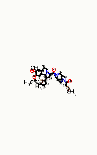 COc1cc2c(cc1OC(C)C)-c1c(-c3cccs3)cc(C(=O)N3CC4CC(CN(C(=O)CSC)C4)C3)n1CC2